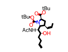 C=CCC[C@@H](O)[C@H](NC(C)=O)[C@H]1[C@H](/C=C\C)C[C@H](C(=O)OC(C)(C)C)N1C(=O)OC(C)(C)C